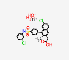 Cc1c(CC(=O)O)cc2ccc(Cl)cc2c1-c1ccc(S(=O)(=O)Nc2cccc(Cl)c2)cc1.O.[Li+].[OH-]